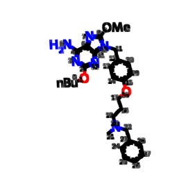 CCCCOc1nc(N)c2nc(OC)n(Cc3ccc(OCCCN(C)Cc4ccccc4)cc3)c2n1